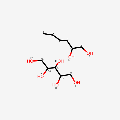 CCCCC(O)CO.OCC(O)C(O)C(O)CO